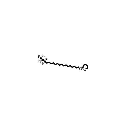 FC(F)(F)C(F)(F)C(F)(F)CCCCCCCCCCCCCCCCOC1CCCCO1